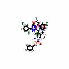 CC[C@@H](CN(C(=O)N1C[C@@H](C)O[C@@H](C)C1)[C@@H](c1nc(-c2cc(F)ccc2F)nn1Cc1cccc(F)c1)C(C)(C)C)[C@@H](F)CNC(=O)OCc1ccccc1